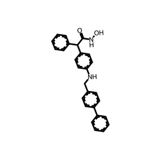 O=C(NO)C(c1ccccc1)c1ccc(NCc2ccc(-c3ccccc3)cc2)cc1